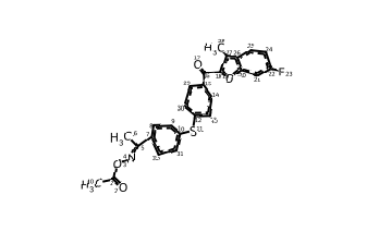 CC(=O)ON=C(C)c1ccc(Sc2ccc(C(=O)c3oc4cc(F)ccc4c3C)cc2)cc1